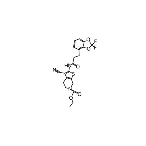 CCOC(=O)N1CCc2c(sc(NC(=O)CCc3cccc4c3OC(F)(F)O4)c2C#N)C1